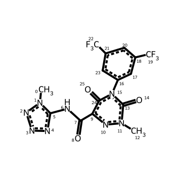 Cn1nnnc1NC(=O)c1nn(C)c(=O)n(-c2cc(C(F)(F)F)cc(C(F)(F)F)c2)c1=O